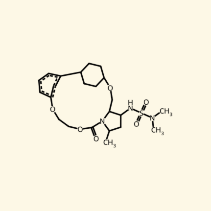 CC1CC(NS(=O)(=O)N(C)C)C2COC3CCC(CC3)c3cccc(c3)OCCOC(=O)N12